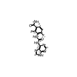 NC(=O)c1ccc(F)c(NC(=O)Nc2ncnc3[nH]cnc23)c1F